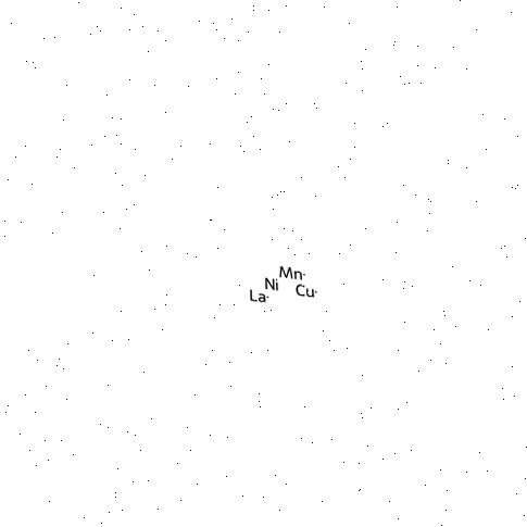 [Cu].[La].[Mn].[Ni]